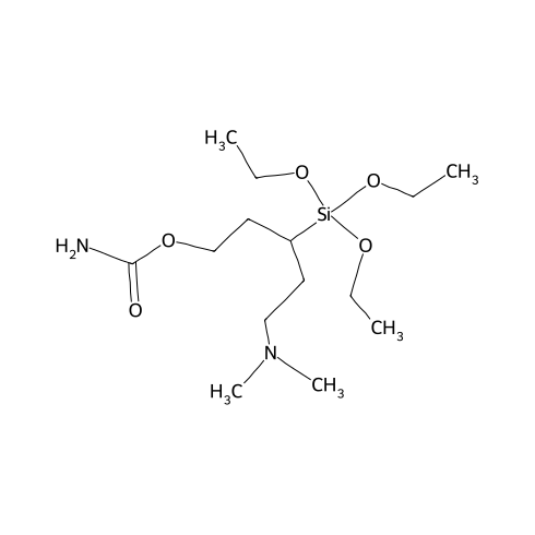 CCO[Si](OCC)(OCC)C(CCOC(N)=O)CCN(C)C